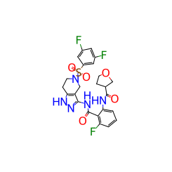 O=C(Nc1n[nH]c2c1CN(S(=O)(=O)c1cc(F)cc(F)c1)CC2)c1c(F)cccc1NC(=O)C1CCOC1